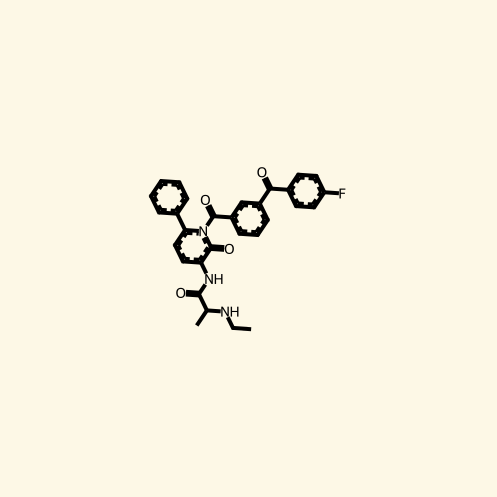 CCNC(C)C(=O)Nc1ccc(-c2ccccc2)n(C(=O)c2cccc(C(=O)c3ccc(F)cc3)c2)c1=O